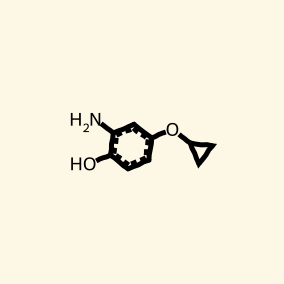 Nc1cc(OC2CC2)ccc1O